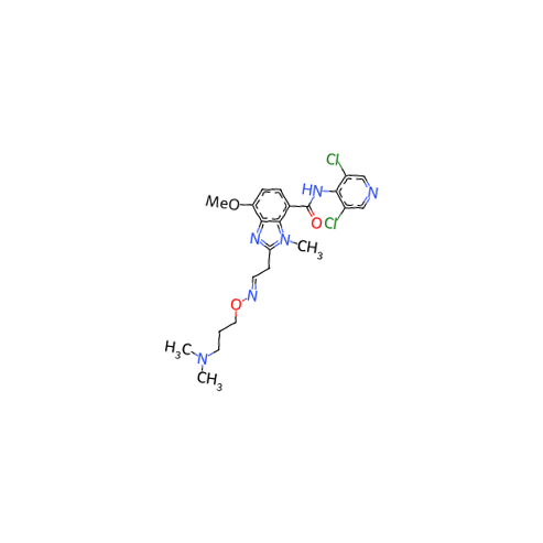 COc1ccc(C(=O)Nc2c(Cl)cncc2Cl)c2c1nc(CC=NOCCCN(C)C)n2C